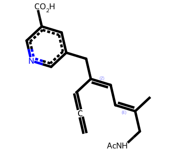 C=C=C/C(=C\C=C(/C)CNC(C)=O)Cc1cncc(C(=O)O)c1